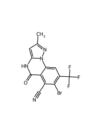 Cc1cc2[nH]c(=O)c3c(C#N)c(Br)c(C(F)(F)F)cc3n2n1